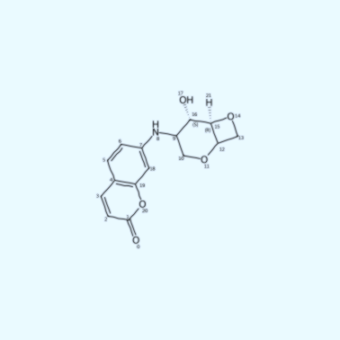 O=c1ccc2ccc(NC3COC4CO[C@@H]4[C@H]3O)cc2o1